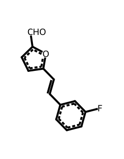 O=Cc1ccc(/C=C/c2cccc(F)c2)o1